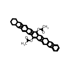 CC(=O)Oc1c2c(c(OC(C)=O)c3c1C1CC3c3cc4c(cc31)C1CC4C3CCCCC13)C1CC2C2=CC3=C(CC21)C1CC3c2ccccc21